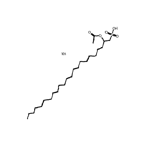 CCCCCCCCCCCCCCCCCCCCCC(CS(=O)(=O)O)OC(C)=O.[KH]